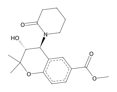 COC(=O)c1ccc2c(c1)[C@H](N1CCCCC1=O)[C@@H](O)C(C)(C)O2